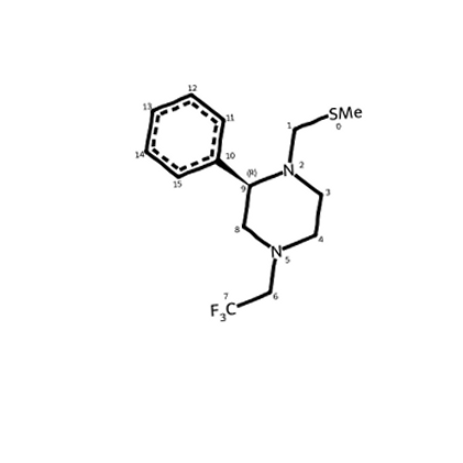 CSCN1CCN(CC(F)(F)F)C[C@H]1c1ccccc1